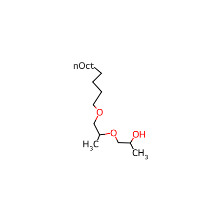 CCCCCCCCCCCCOCC(C)OCC(C)O